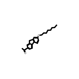 CCCCCCCCOc1ccc2c(c1)Cc1cc(C(C)=O)ccc1-2